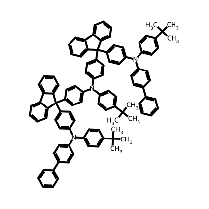 CC(C)(C)c1ccc(N(c2ccc(-c3ccccc3)cc2)c2ccc(C3(c4ccc(N(c5ccc(C(C)(C)C)cc5)c5ccc(C6(c7ccc(N(c8ccc(-c9ccccc9)cc8)c8ccc(C(C)(C)C)cc8)cc7)c7ccccc7-c7ccccc76)cc5)cc4)c4ccccc4-c4ccccc43)cc2)cc1